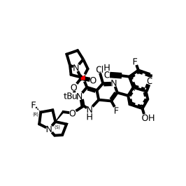 C#Cc1c(F)ccc2cc(O)cc(C3=C(F)C4NC(OC[C@@]56CCCN5C[C@H](F)C6)=NC(N5CC6CCC(C5)N6C(=O)OC(C)(C)C)=C4C(Cl)=N3)c12